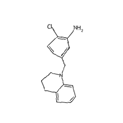 Nc1cc(CN2CCCc3ccccc32)ccc1Cl